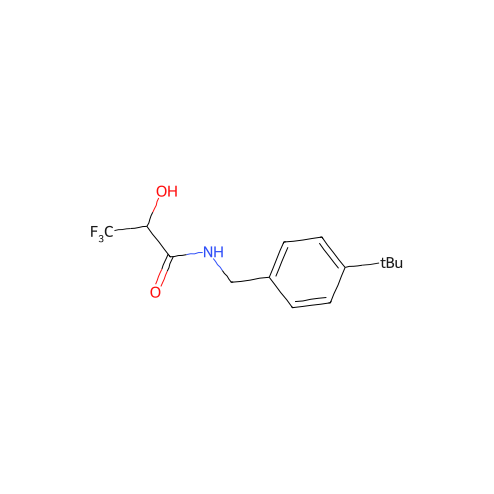 CC(C)(C)c1ccc(CNC(=O)C(O)C(F)(F)F)cc1